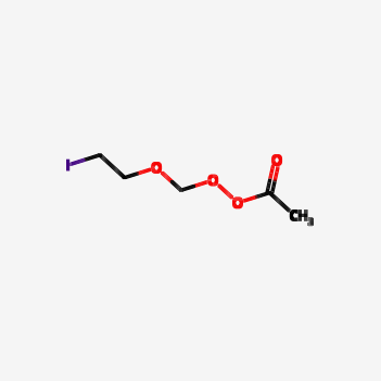 CC(=O)OOCOCCI